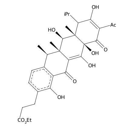 CCOC(=O)CCc1ccc2c(c1O)C(=O)C1=C(O)[C@@]3(O)C(=O)C(C(C)=O)=C(O)C(C(C)C)[C@@]3(C)[C@H](O)[C@@]1(C)[C@@H]2C